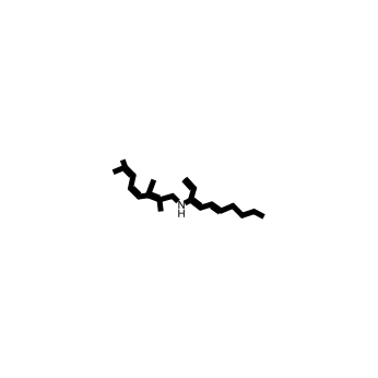 C=C/C(=C\C=C\CCCC)NC/C(C)=C(C)/C=C\C=C(C)C